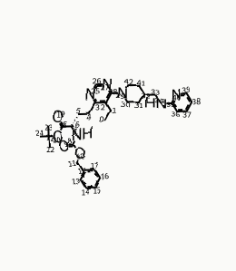 CCc1c(CC[C@H](NC(=O)OCc2ccccc2)C(=O)OC(C)(C)C)ncnc1N1CCC(CNc2ccccn2)CC1